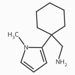 Cn1cccc1C1(CN)CCCCC1